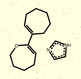 C1=C(C2=CCCCCO2)CCCCC1.c1c[nH]cn1